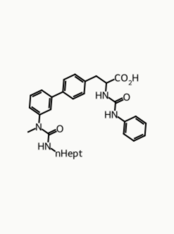 CCCCCCCNC(=O)N(C)c1cccc(-c2ccc(CC(NC(=O)Nc3ccccc3)C(=O)O)cc2)c1